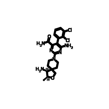 C[C@@H]1OCC2(CCN(c3nc(N)c(-c4cccc(Cl)c4Cl)c(C(N)=O)n3)CC2)[C@@H]1N